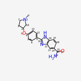 CN1CCC(Oc2ccc(-c3nc4cc(C(N)=O)ccc4[nH]3)cc2)C1